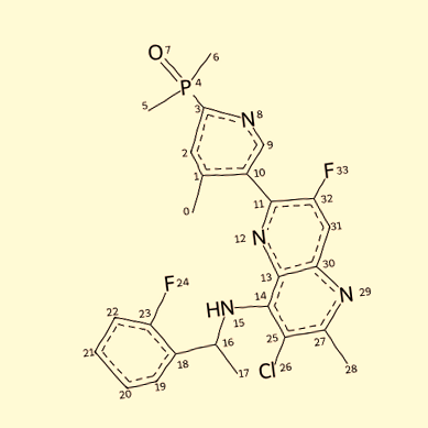 Cc1cc(P(C)(C)=O)ncc1-c1nc2c(NC(C)c3ccccc3F)c(Cl)c(C)nc2cc1F